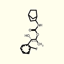 C[C@H](OC(=O)NC1CC2CCC1C2)[C@@H](O)c1ccccc1F